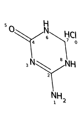 Cl.NC1=NC(=O)NCN1